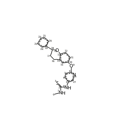 CNC(=S)Nc1ccc(Oc2ccc3c(c2)CCC(c2ccccc2)O3)nc1